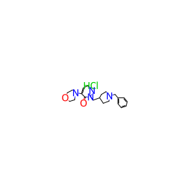 Cl.O=c1c(N2CCOCC2)ccnn1CC1CCN(Cc2ccccc2)CC1